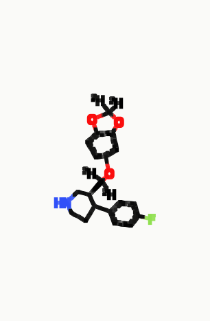 [2H]C1([2H])Oc2ccc(OC([2H])([2H])[C@@H]3CNCCC3c3ccc(F)cc3)cc2O1